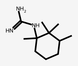 CC1CCCC(C)(NC(=N)N)C1(C)C